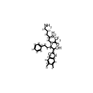 Cc1cc2nc(C(O)[C@@H](CCc3ccccc3)N(C[C@H](N)CCCN)C(=O)C(F)(F)F)oc2cc1C